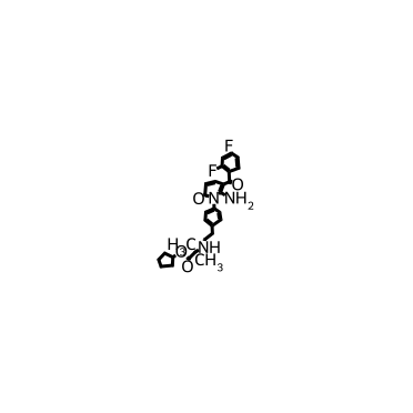 CC(C)(NCCc1ccc(-n2c(N)c(C(=O)c3ccc(F)cc3F)ccc2=O)cc1)C(=O)OC1CCCC1